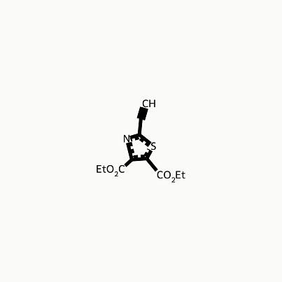 C#Cc1nc(C(=O)OCC)c(C(=O)OCC)s1